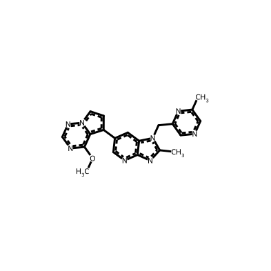 COc1ncnn2ccc(-c3cnc4nc(C)n(Cc5cncc(C)n5)c4c3)c12